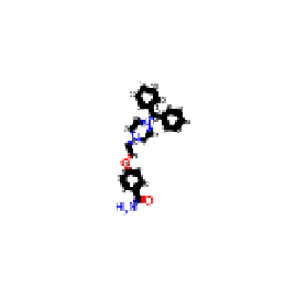 NC(=O)c1ccc(OCCN2CCN(C(c3ccccc3)c3ccccc3)CC2)cc1